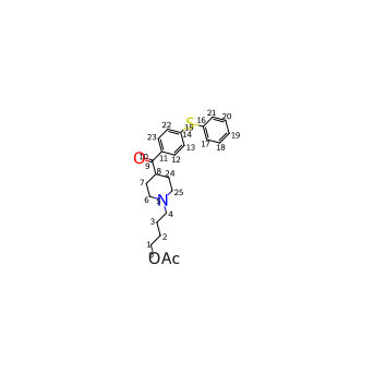 CC(=O)OCCCCN1CCC(C(=O)c2ccc(Sc3ccccc3)cc2)CC1